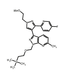 COCCn1cc(-c2nn(COCC[Si](C)(C)C)c3nc(C)ccc23)c(-c2ccc(F)cn2)n1